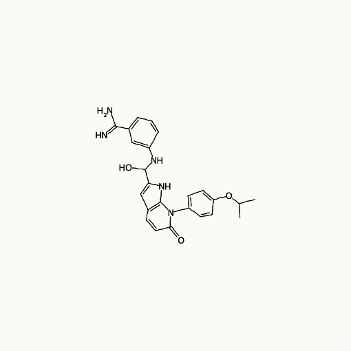 CC(C)Oc1ccc(-n2c(=O)ccc3cc(C(O)Nc4cccc(C(=N)N)c4)[nH]c32)cc1